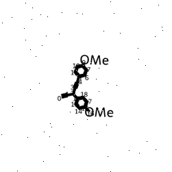 C#CC(C#Cc1ccc(OC)cc1)c1ccc(OC)cc1